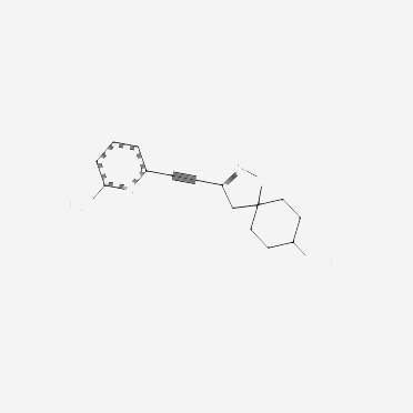 CCOC(=O)C1CCC2(CC1)CC(C#Cc1cccc(C)n1)=NO2